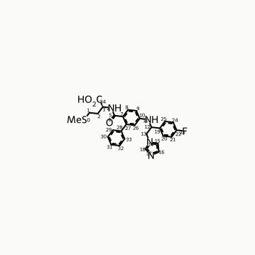 CSCC[C@H](NC(=O)c1ccc(NC(Cn2ccnc2)c2ccc(F)cc2)cc1-c1ccccc1)C(=O)O